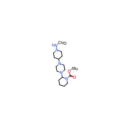 CC(C)(C)OC(=O)N1CCCCC1N1CCN(C2CCN(NC=O)CC2)CC1